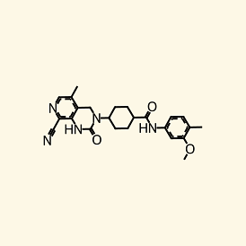 COc1cc(NC(=O)C2CCC(N3Cc4c(C)cnc(C#N)c4NC3=O)CC2)ccc1C